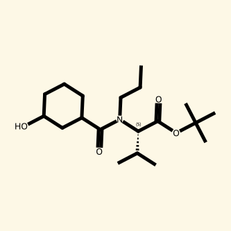 CCCN(C(=O)C1CCCC(O)C1)[C@H](C(=O)OC(C)(C)C)C(C)C